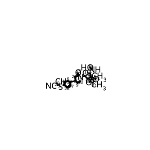 CC(C#N)Sc1ccc(-c2ccn(CC[C@](C)(C(=O)NO)S(C)(=O)=O)c(=O)c2)cc1